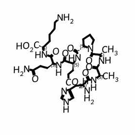 C[C@H](NC(=O)[C@@H](N)Cc1c[nH]cn1)C(=O)N[C@@H](C)C(=O)N1CCC[C@H]1C(=O)N[C@@H](CCC(=O)O)C(=O)N[C@@H](CCC(N)=O)C(=O)N[C@@H](CCCCN)C(=O)O